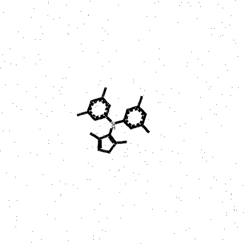 CC1=CCC(C)=C1[SiH](c1cc(C)cc(C)c1)c1cc(C)cc(C)c1